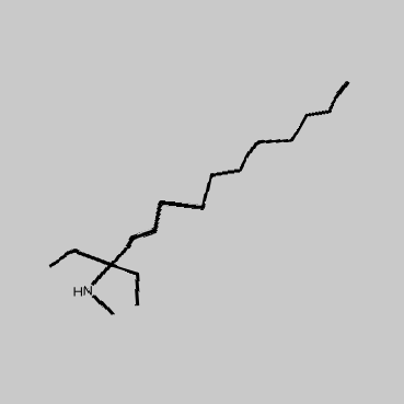 CCCCCCCCCCCC(CC)(CC)NC